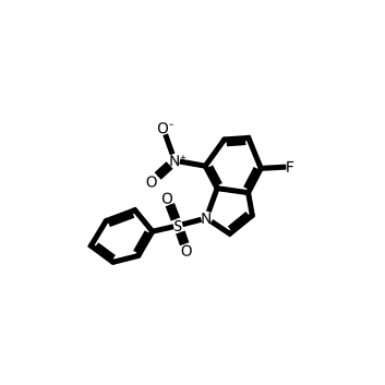 O=[N+]([O-])c1ccc(F)c2ccn(S(=O)(=O)c3ccccc3)c12